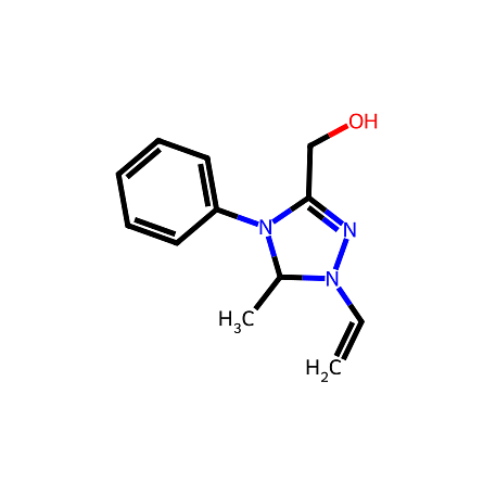 C=CN1N=C(CO)N(c2ccccc2)C1C